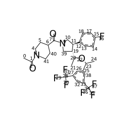 CC(=O)N1CCC(C(=O)N2C[C@@H](c3ccc(F)cc3)[C@H](C(C)OC(C)c3cc(C(F)(F)F)cc(C(F)(F)F)c3)C2)CC1